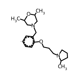 CC1CN(Cc2c[c]ccc2OCCCN2CCCC2C)CC(C)O1